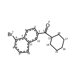 O=C(c1ccc2c(Br)cccc2c1)C1CCCCC1